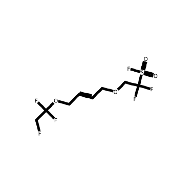 O=S(=O)(F)C(F)(F)COC/C=C/COC(F)(F)CF